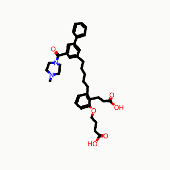 CN1CCN(C(=O)c2cc(CCCCCc3cccc(OCCCC(=O)O)c3CCC(=O)O)cc(-c3ccccc3)c2)CC1